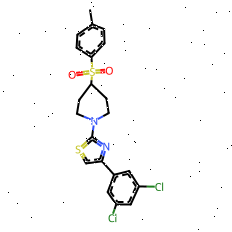 Cc1ccc(S(=O)(=O)C2CCN(c3nc(-c4cc(Cl)cc(Cl)c4)cs3)CC2)cc1